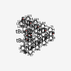 CC(C)(C)c1ccc2sc3c(c2c1)Oc1cc(N(c2c(F)cccc2F)c2c(F)cccc2F)cc2c1B3c1cc3c(cc1N2c1c(F)cccc1F)N(c1c(F)cccc1F)c1cc(N(c2c(F)cccc2F)c2c(F)cccc2F)cc2c1B3c1cc3c(cc1N2c1c(F)cccc1F)N(c1c(F)cccc1F)c1cc(N(c2c(F)cccc2F)c2c(F)cccc2F)cc2c1B3c1sc3ccc(C(C)(C)C)cc3c1O2